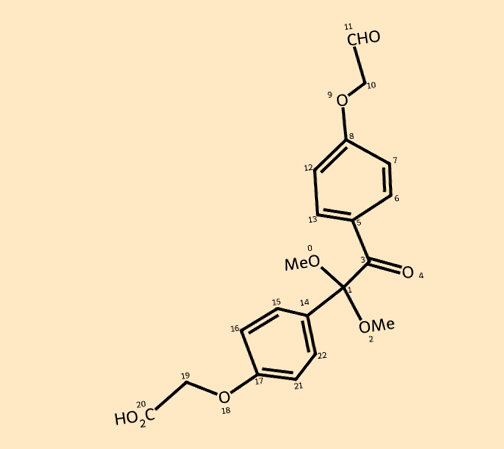 COC(OC)(C(=O)c1ccc(OCC=O)cc1)c1ccc(OCC(=O)O)cc1